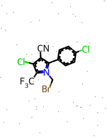 N#Cc1c(Cl)c(C(F)(F)F)n(CBr)c1-c1ccc(Cl)cc1